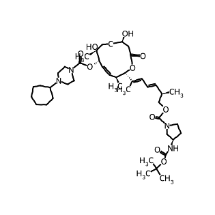 C/C(=C\C=C\[C@@H](C)COC(=O)N1CC[C@@H](NC(=O)OC(C)(C)C)C1)[C@H]1OC(=O)C[C@H](O)CC[C@@](C)(O)[C@@H](OC(=O)N2CCN(C3CCCCCC3)CC2)/C=C/[C@@H]1C